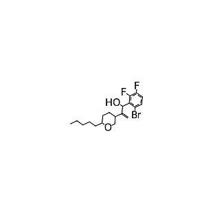 C=C(C1CCC(CCCCC)OC1)C(O)c1c(Br)ccc(F)c1F